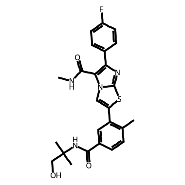 CNC(=O)c1c(-c2ccc(F)cc2)nc2sc(-c3cc(C(=O)NC(C)(C)CO)ccc3C)cn12